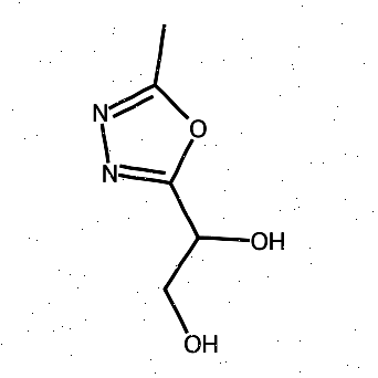 Cc1nnc(C(O)CO)o1